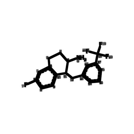 NC1CCc2cc(F)ccc2C1Cc1cccc(C(F)(F)F)c1